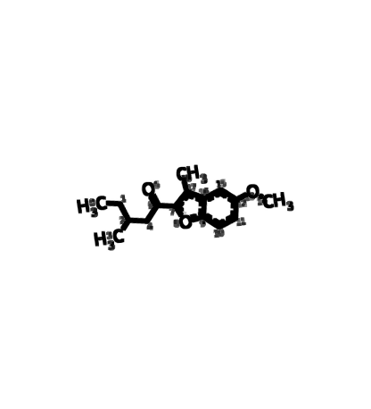 CCC(C)CC(=O)c1oc2ccc(OC)cc2c1C